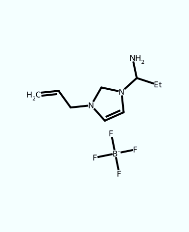 C=CCN1C=CN(C(N)CC)C1.F[B-](F)(F)F